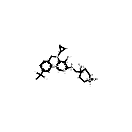 CC(F)(F)c1ccc(CN(c2ncnc(NCC3(O)CCS(=O)(=O)CC3)c2F)C2CC2)cc1